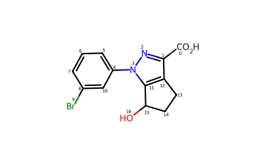 O=C(O)c1nn(-c2cccc(Br)c2)c2c1CCC2O